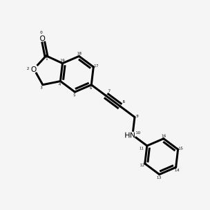 O=C1OCc2cc(C#CCNc3ccccc3)ccc21